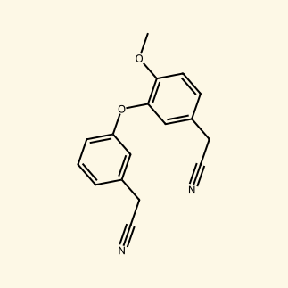 COc1ccc(CC#N)cc1Oc1cccc(CC#N)c1